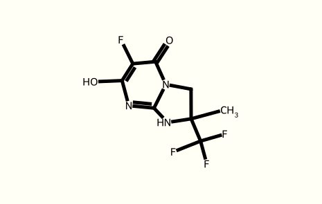 CC1(C(F)(F)F)Cn2c(nc(O)c(F)c2=O)N1